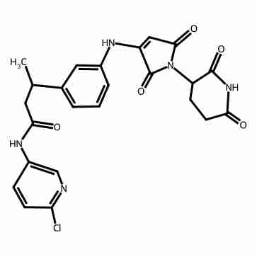 CC(CC(=O)Nc1ccc(Cl)nc1)c1cccc(NC2=CC(=O)N(C3CCC(=O)NC3=O)C2=O)c1